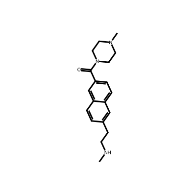 CNCCc1ccc2cc(C(=O)N3CCN(C)CC3)ccc2c1